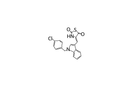 O=C1NC(=Cc2cn(Cc3ccc(Cl)cc3)c3ccccc23)C(=O)S1